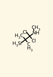 CNC(Cl)(Cl)C(C)(C)[SiH3]